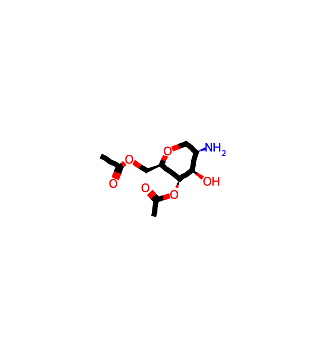 CC(=O)OC[C@H]1O[CH][C@H](N)[C@@H](O)[C@@H]1OC(C)=O